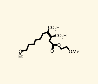 CCOCCCCCCC(C(=O)O)=C(CC(=O)OCCOC)C(=O)O